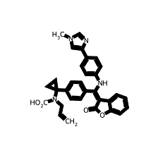 C=CCN(C(=O)O)C1(c2ccc(C(Nc3ccc(-c4cn(C)cn4)cc3)=C3C(=O)Oc4ccccc43)cc2)CC1